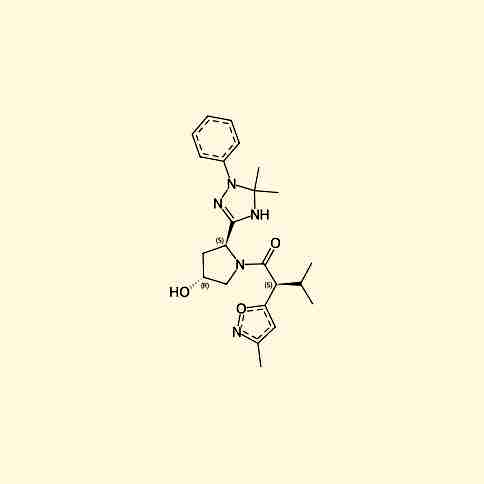 Cc1cc([C@@H](C(=O)N2C[C@H](O)C[C@H]2C2=NN(c3ccccc3)C(C)(C)N2)C(C)C)on1